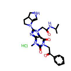 CC(C)NC(=O)Cn1c(N2CCC3CNC=C32)nc2c1c(=O)n(CC(=O)c1ccccc1)c(=O)n2C.Cl